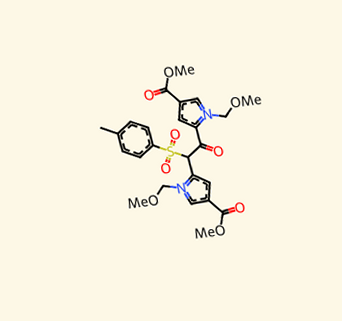 COCn1cc(C(=O)OC)cc1C(=O)C(c1cc(C(=O)OC)cn1COC)S(=O)(=O)c1ccc(C)cc1